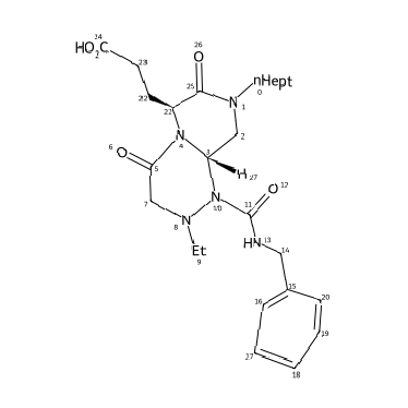 CCCCCCCN1C[C@H]2N(C(=O)CN(CC)N2C(=O)NCc2ccccc2)[C@@H](CCC(=O)O)C1=O